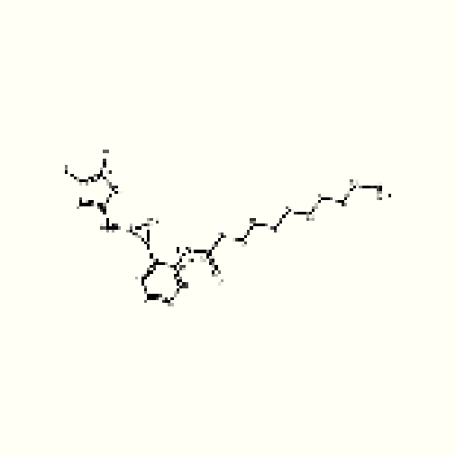 Cc1nc(NC2OC2c2ccccc2NC(=O)CCCCCCCCCN)sc1C